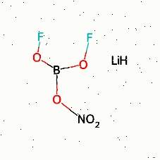 O=[N+]([O-])OB(OF)OF.[LiH]